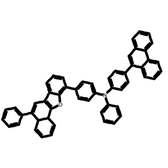 C1=CC2C(c3ccccc3)=Cc3c(oc4c(-c5ccc(N(c6ccccc6)c6ccc(-c7cc8ccccc8c8ccccc78)cc6)cc5)cccc34)C2C=C1